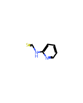 S=[C]Nc1ccccn1